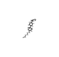 C=CCCCCc1cnc(-c2ccc(N=C=S)cc2)nc1